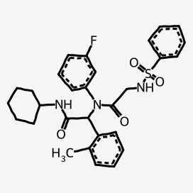 Cc1ccccc1C(C(=O)NC1CCCCC1)N(C(=O)CNS(=O)(=O)c1ccccc1)c1cccc(F)c1